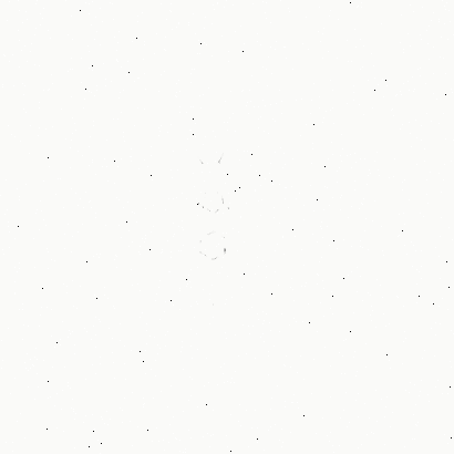 C=C(Cc1nc(-c2ccc(CCC(F)(F)F)cc2)no1)C(=O)OC(C)(C)C